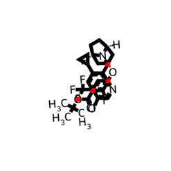 CC(C)(C)OC(=O)c1cc(C2CC2)c(CN2[C@@H]3CC[C@H]2C[C@H](Oc2cc(C(F)(F)F)c(Cl)cn2)C3)cc1F